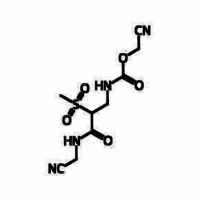 CS(=O)(=O)C(CNC(=O)OCC#N)C(=O)NCC#N